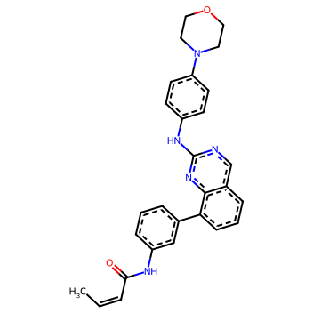 C/C=C\C(=O)Nc1cccc(-c2cccc3cnc(Nc4ccc(N5CCOCC5)cc4)nc23)c1